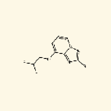 FC(F)COc1cccn2nc(Br)nc12